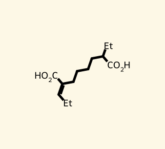 CCC=C(CCCCC(CC)C(=O)O)C(=O)O